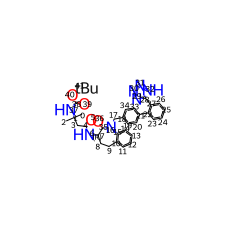 CC(C)(CC(=O)N[C@@H]1CCc2ccccc2N(Cc2ccc(-c3ccccc3-c3nnn[nH]3)cc2)C1=O)NC(=O)OC(C)(C)C